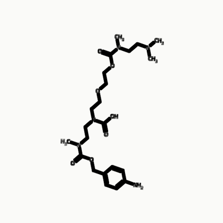 CN(C)CCN(C)C(=O)OCCOCCN(CCN(C)C(=O)OCc1ccc(N)cc1)C(=O)O